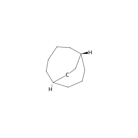 C1CC[C@@H]2CCC[C@@H](C1)CC2